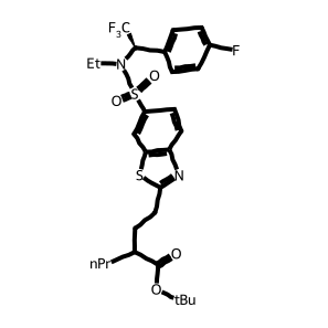 CCCC(CCc1nc2ccc(S(=O)(=O)N(CC)[C@H](c3ccc(F)cc3)C(F)(F)F)cc2s1)C(=O)OC(C)(C)C